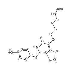 CCCCNCCCCOc1c(C)nc(Cc2ccc(O)cc2)c2c1COC2